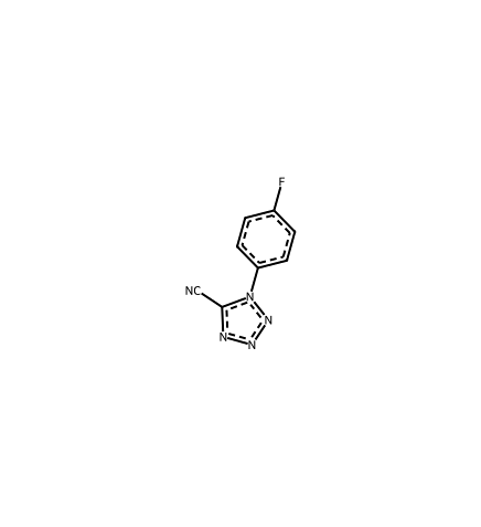 N#Cc1nnnn1-c1ccc(F)cc1